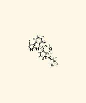 Cc1nnc2nc(N3CCOCc4c(C#CC(C)(C)C(F)(F)F)cccc43)c3c(F)cncc3n12